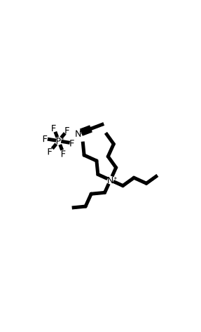 CC#N.CCCC[N+](CCCC)(CCCC)CCCC.F[P-](F)(F)(F)(F)F